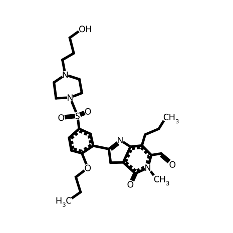 CCCOc1ccc(S(=O)(=O)N2CCN(CCCO)CC2)cc1C1=Nc2c(CCC)c(C=O)n(C)c(=O)c2C1